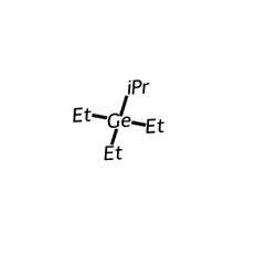 C[CH2][Ge]([CH2]C)([CH2]C)[CH](C)C